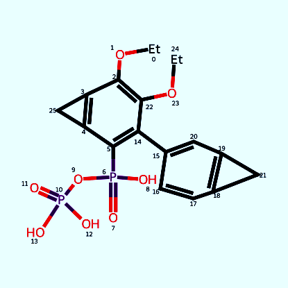 CCOc1c2c(c(P(=O)(O)OP(=O)(O)O)c(-c3ccc4c(c3)C4)c1OCC)C2